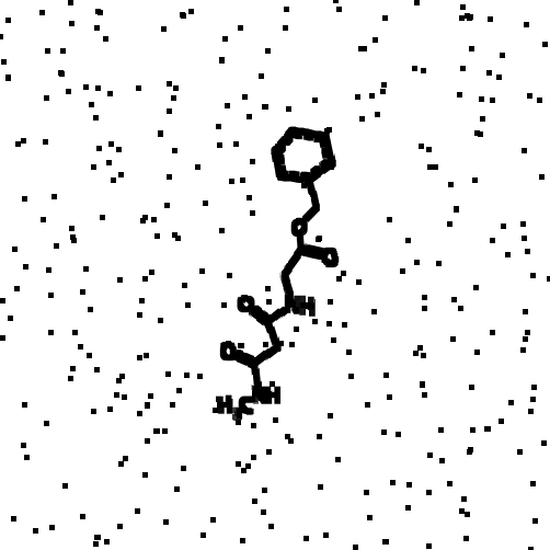 CNC(=O)CC(=O)NCC(=O)OCc1ccccc1